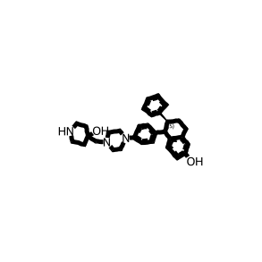 Oc1ccc2c(c1)CC[C@H](c1ccccc1)C2c1ccc(N2CCN(CC3(O)CCNCC3)CC2)cc1